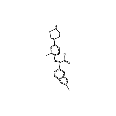 CCC(=O)/C(=C\c1ccc(N2CCNCC2)cc1C)c1ccc2nc(C)cn2c1